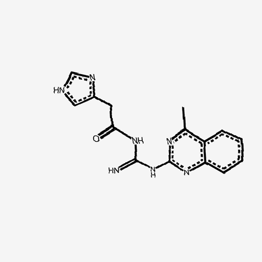 Cc1nc(NC(=N)NC(=O)Cc2c[nH]cn2)nc2ccccc12